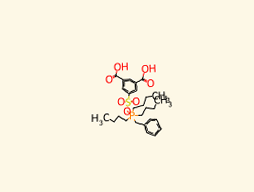 CCCCP(CCCC)(CCCC)(Cc1ccccc1)OS(=O)(=O)c1cc(C(=O)O)cc(C(=O)O)c1